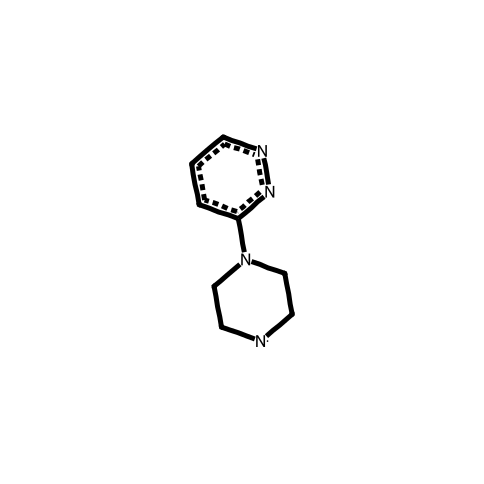 c1cnnc(N2CC[N]CC2)c1